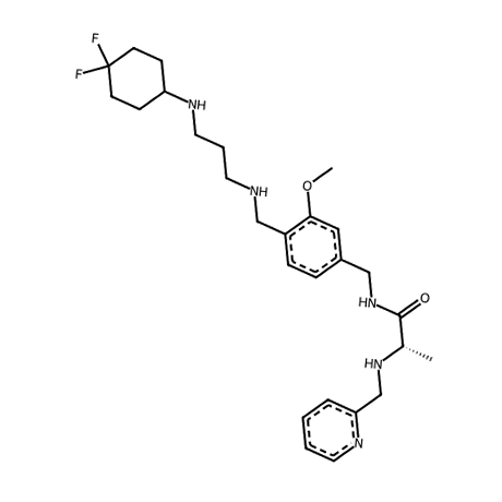 COc1cc(CNC(=O)[C@H](C)NCc2ccccn2)ccc1CNCCCNC1CCC(F)(F)CC1